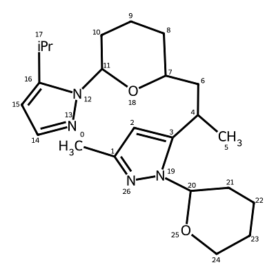 Cc1cc(C(C)CC2CCCC(n3nccc3C(C)C)O2)n(C2CCCCO2)n1